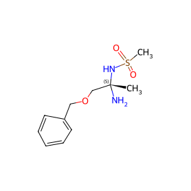 C[C@@](N)(COCc1ccccc1)NS(C)(=O)=O